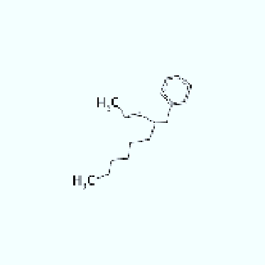 CC=CC(CCCCCC)Cc1ccccc1